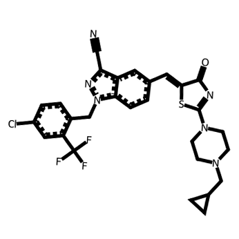 N#Cc1nn(Cc2ccc(Cl)cc2C(F)(F)F)c2ccc(/C=C3\SC(N4CCN(CC5CC5)CC4)=NC3=O)cc12